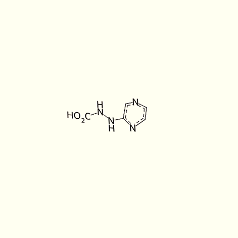 O=C(O)NNc1cnccn1